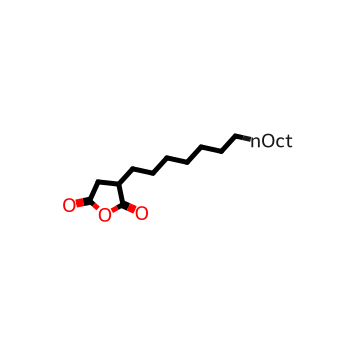 CCCCCCCCCCCCCCCC1CC(=O)OC1=O